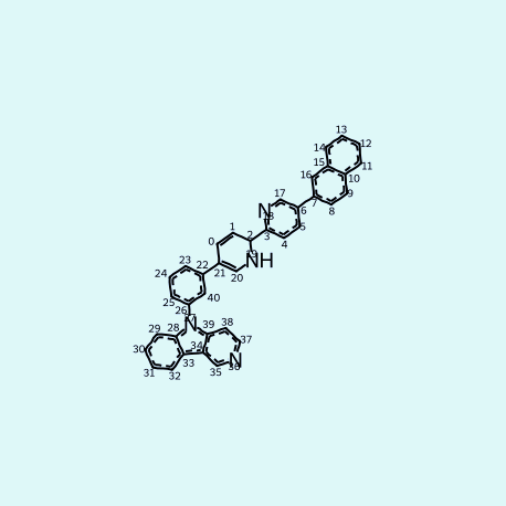 C1=CC(c2ccc(-c3ccc4ccccc4c3)cn2)NC=C1c1cccc(-n2c3ccccc3c3cnccc32)c1